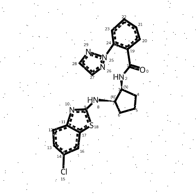 O=C(N[C@H]1CCC[C@H]1Nc1nc2ccc(Cl)cc2s1)c1ccccc1-n1nccn1